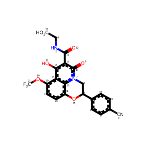 N#Cc1ccc(C2Cn3c(=O)c(C(=O)NCC(=O)O)c(O)c4c(OC(F)(F)F)ccc(c43)O2)cc1